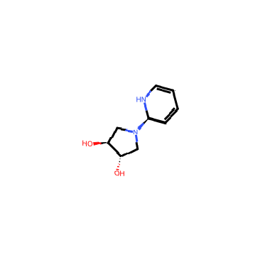 O[C@H]1CN([C@@H]2C=C[C]=CN2)C[C@@H]1O